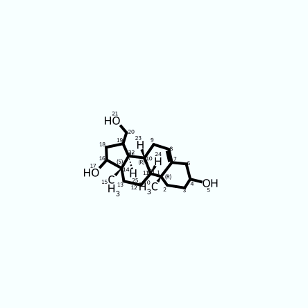 C[C@]12CCC(O)CC1=CC[C@@H]1[C@H]2CC[C@]2(C)C(O)CC(CO)[C@@H]12